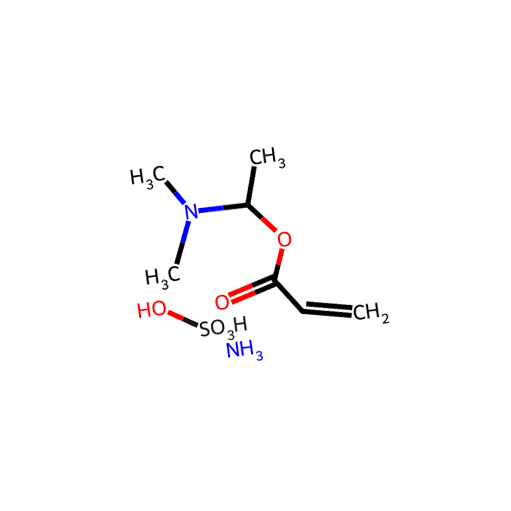 C=CC(=O)OC(C)N(C)C.N.O=S(=O)(O)O